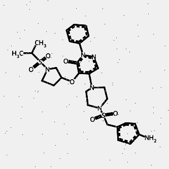 CC(C)S(=O)(=O)N1CCC(Oc2c(N3CCN(S(=O)(=O)Cc4ccc(N)cc4)CC3)cnn(-c3ccccc3)c2=O)C1